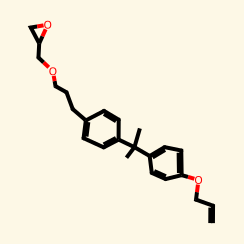 C=CCOc1ccc(C(C)(C)c2ccc(CCCOCC3CO3)cc2)cc1